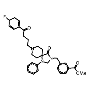 COC(=O)c1cccc(CN2CN(c3ccccc3)C3(CCN(CCCC(=O)C4=CCC(F)C=C4)CC3)C2=O)c1